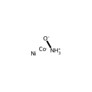 [Co].[NH3+][O-].[Ni]